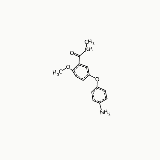 CNC(=O)c1cc(Oc2ccc(N)cc2)ccc1OC